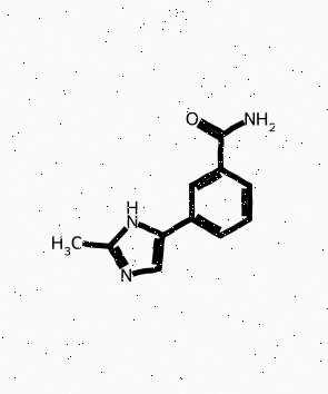 Cc1ncc(-c2cccc(C(N)=O)c2)[nH]1